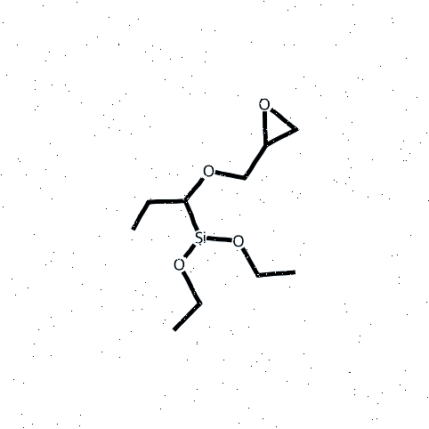 CCO[Si](OCC)C(CC)OCC1CO1